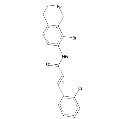 O=C(/C=C/c1ccccc1Cl)Nc1ccc2c(c1Br)CNCC2